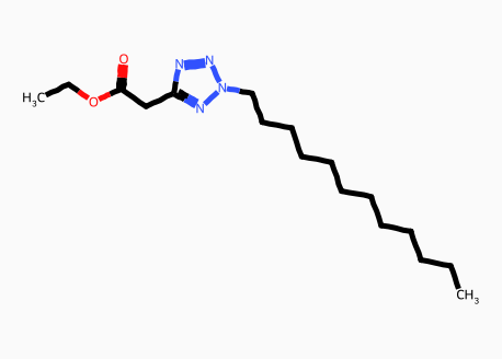 CCCCCCCCCCCCn1nnc(CC(=O)OCC)n1